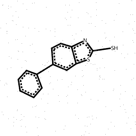 Sc1nc2ccc(-c3ccccc3)cc2s1